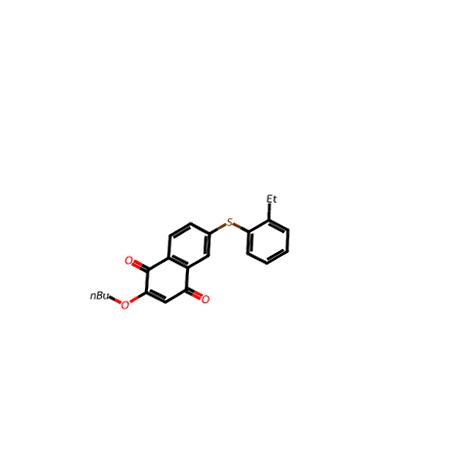 CCCCOC1=CC(=O)c2cc(Sc3ccccc3CC)ccc2C1=O